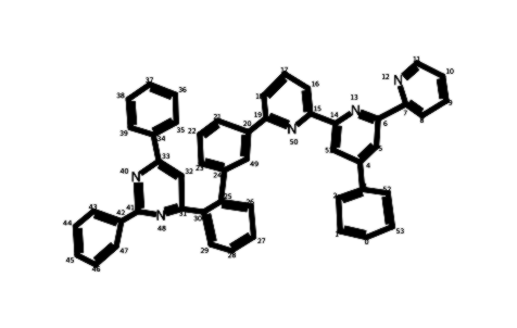 c1ccc(-c2cc(-c3ccccn3)nc(-c3cccc(-c4cccc(-c5ccccc5-c5cc(-c6ccccc6)nc(-c6ccccc6)n5)c4)n3)c2)cc1